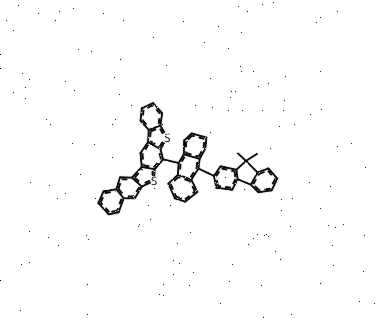 CC1(C)c2ccccc2-c2ccc(-c3c4ccccc4c(-c4c5sc6ccccc6c5cc5c4sc4cc6ccccc6cc45)c4ccccc34)cc21